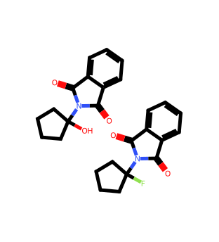 O=C1c2ccccc2C(=O)N1C1(F)CCCC1.O=C1c2ccccc2C(=O)N1C1(O)CCCC1